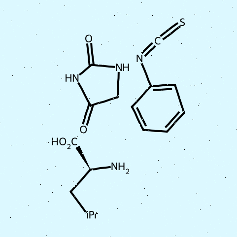 CC(C)C[C@H](N)C(=O)O.O=C1CNC(=O)N1.S=C=Nc1ccccc1